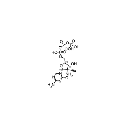 C#CC1(N)[C@@H](O)[C@@H](COP(=O)(O)OP(=O)(O)OP(=O)(O)O)O[C@H]1n1cnc(N)nc1=O